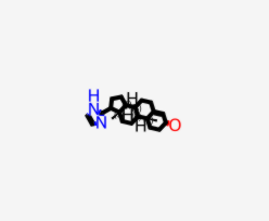 C[C@]12CCC(=O)C=C1CC[C@@H]1[C@H]2CC[C@]2(C)C(c3ncc[nH]3)CC[C@@H]12